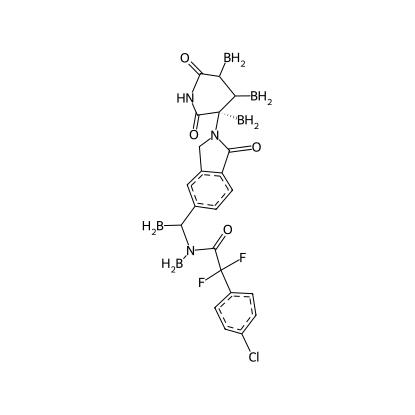 BC1C(=O)NC(=O)[C@](B)(N2Cc3cc(C(B)N(B)C(=O)C(F)(F)c4ccc(Cl)cc4)ccc3C2=O)C1B